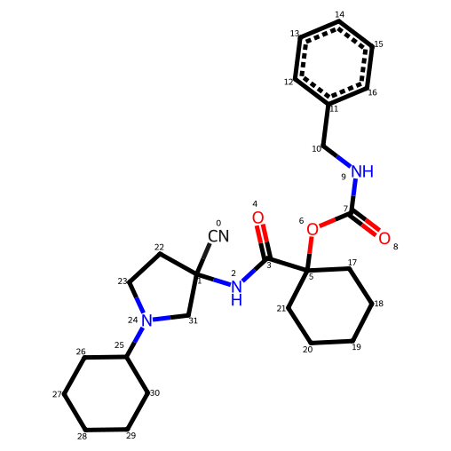 N#CC1(NC(=O)C2(OC(=O)NCc3ccccc3)CCCCC2)CCN(C2CCCCC2)C1